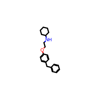 c1ccc(Cc2ccc(OCCNC3CCCCC3)cc2)cc1